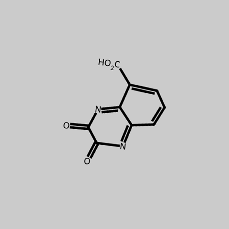 O=C1N=c2cccc(C(=O)O)c2=NC1=O